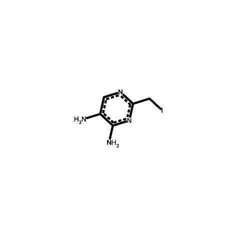 Nc1cnc(CI)nc1N